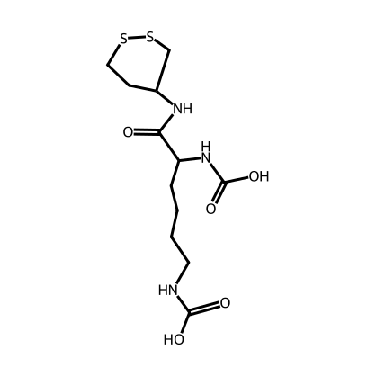 O=C(O)NCCCCC(NC(=O)O)C(=O)NC1CCSSC1